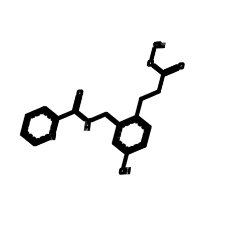 CC(C)(C)OC(=O)CCc1ccc(O)cc1CNC(=O)c1ccccn1